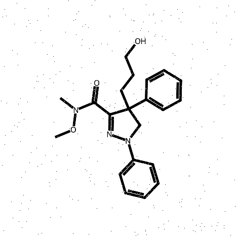 CON(C)C(=O)C1=NN(c2ccccc2)CC1(CCCO)c1ccccc1